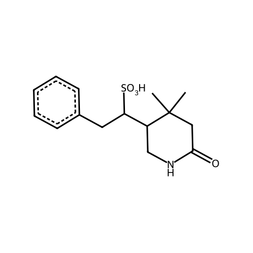 CC1(C)CC(=O)NCC1C(Cc1ccccc1)S(=O)(=O)O